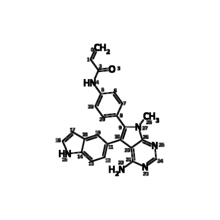 C=CC(=O)Nc1ccc(-c2c(-c3ccc4[nH]ccc4c3)c3c(N)ncnc3n2C)cc1